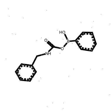 O=C(NCc1ccccc1)OB(O)c1ccccc1